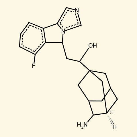 NC1C2CC3C[C@@H]1CC(C(O)CC1c4c(F)cccc4-c4cncn41)(C3)C2